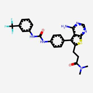 CN(C)C(=O)CCc1sc2ncnc(N)c2c1-c1ccc(NC(=O)Nc2cccc(C(F)(F)F)c2)cc1